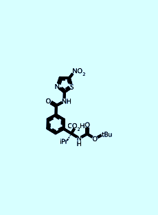 CC(C)[C@@](NC(=O)OC(C)(C)C)(C(=O)O)c1cccc(C(=O)Nc2ncc([N+](=O)[O-])s2)c1